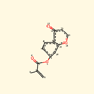 C=C(C)C(=O)Oc1ccc2c(=O)ccoc2c1